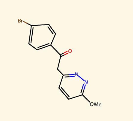 COc1ccc(CC(=O)c2ccc(Br)cc2)nn1